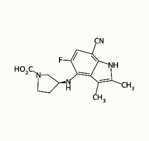 Cc1[nH]c2c(C#N)cc(F)c(N[C@H]3CCN(C(=O)O)C3)c2c1C